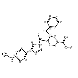 CC(C)(C)OC(=O)N1CCN(C(=O)n2ncc(-c3ccc(OC(F)(F)F)cc3)n2)[C@@H](Cc2ccccc2)C1